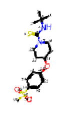 CC(C)(C)NC(=S)N1CCC(Oc2ccc(S(C)(=O)=O)cc2)CC1